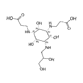 O=C(O)CCN[C@@H]1[C@H](O)[C@H](NCCC(=O)O)[C@H](O)[C@H](NCC(O)CO)[C@@H]1O